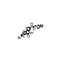 O=C(CN1CCC2(CCC2)C1)Nc1cnc2c(c1)[nH]c(=O)c1c2nn2cc(Br)sc12